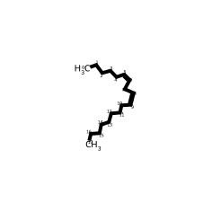 CCCCC/C=C\C/C=C\C[CH]CCCCCC